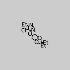 CCc1ncnc(OC2CCC3(CC2)OCC(CC)(CC)CO3)c1Cl